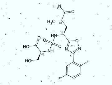 C[C@@H](C[C@H](NS(=O)(=O)N[C@@H](CO)C(=O)O)c1nc(-c2cc(F)ccc2F)no1)C(N)=O